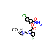 NC(=O)c1cc2cc(Cl)ccc2cc1OCC(=O)c1cn(CCN2CCCC2C(=O)O)c2cc(F)ccc12